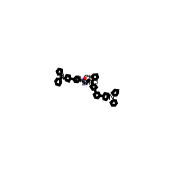 C=C(/C=C\C(=C/C)c1ccc(-c2ccc(N(c3ccccc3)c3ccccc3)cc2)cc1)N(c1ccccc1)c1ccc(-c2cccc(-c3ccc(N(c4ccccc4)c4ccccc4)cc3)c2)cc1